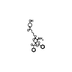 N[C@H]1C(OC(=O)c2ccccc2)[C@@H](OC(=O)c2ccccc2)CO[C@H]1OCCCCC(=O)N1CCC(O)CC1